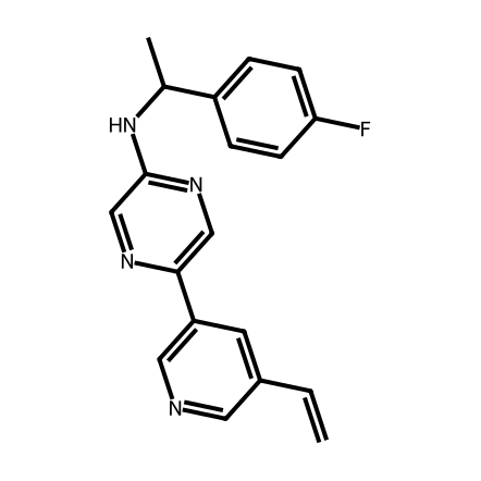 C=Cc1cncc(-c2cnc(NC(C)c3ccc(F)cc3)cn2)c1